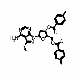 CSc1nn([C@H]2C[C@H](OC(=O)c3ccc(C)cc3)[C@@H](COC(=O)c3ccc(C)cc3)O2)c2ncnc(N)c12